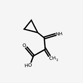 C=C(C(=N)C1CC1)C(=O)O